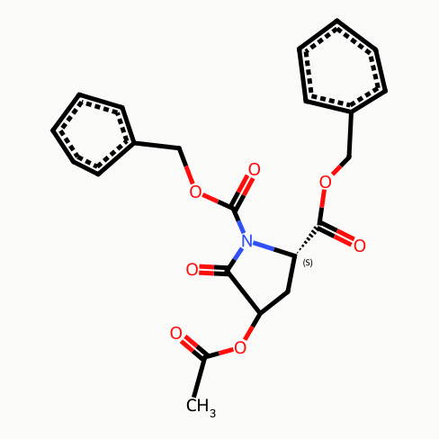 CC(=O)OC1C[C@@H](C(=O)OCc2ccccc2)N(C(=O)OCc2ccccc2)C1=O